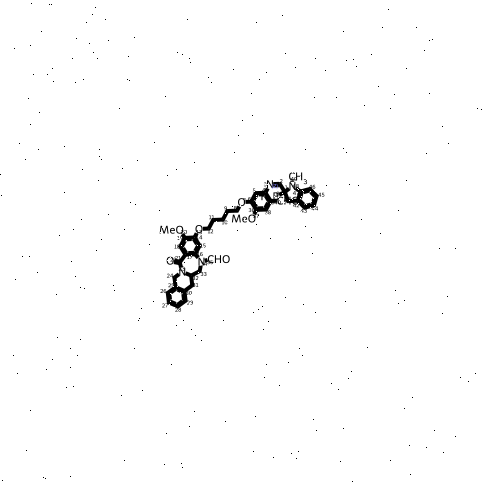 BC1(/C=N\c2cc(OCCCCCOc3cc4c(cc3OC)C(=O)N3Cc5ccccc5CC3CN4C=O)c(OC)cc2C=O)Cc2ccccc2N1C